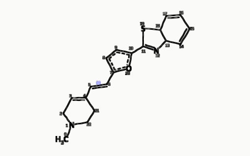 CN1CC=C(/C=C/c2ccc(C3=NC4C=CC=CC4S3)o2)CC1